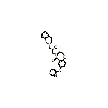 O=C1c2cc(Nc3ccncn3)ccc2OCCN1CC(O)CN1CCc2ccccc2C1